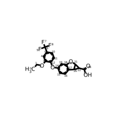 CCOc1cc(C(F)(F)F)ccc1Oc1ccc2c(c1)OC1C(C(=O)O)C21